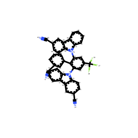 N#Cc1cccc(-c2c(-n3c4ccccc4c4cc(C#N)ccc43)cc(C(F)(F)F)cc2-n2c3ccccc3c3cc(C#N)ccc32)c1